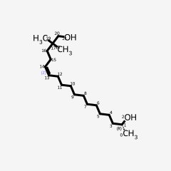 C[C@@H](O)CCCCCCCCCC/C=C\CCC(C)(C)CO